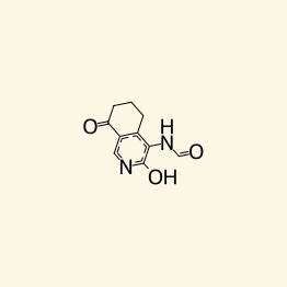 O=CNc1c(O)ncc2c1CCCC2=O